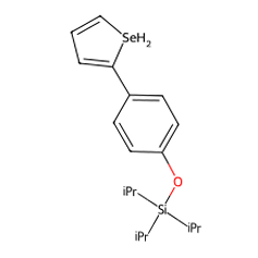 CC(C)[Si](Oc1ccc(C2=CC=C[SeH2]2)cc1)(C(C)C)C(C)C